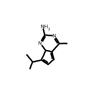 CC1=NC(N)=NC2C1=CC=C2C(C)C